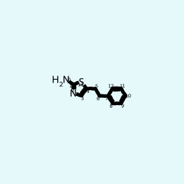 Nc1ncc(CCc2ccccc2)s1